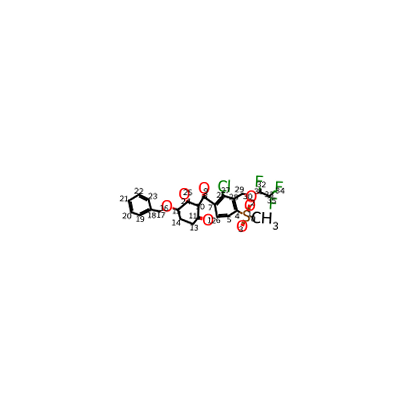 CS(=O)(=O)c1ccc(C(=O)C2C(=O)CCC(OCc3ccccc3)C2=O)c(Cl)c1COC(F)C(F)F